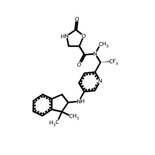 CN(C(=O)C1CNC(=O)O1)[C@@H](c1ccc(NC2Cc3ccccc3C2(C)C)cn1)C(F)(F)F